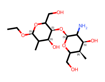 CCO[C@H]1OC(CO)[C@@H](O[C@@H]2OC(CO)[C@H](C)[C@H](O)C2N)[C@@H](O)C1C